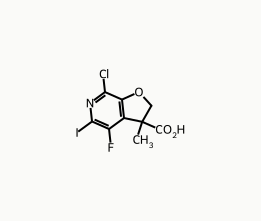 CC1(C(=O)O)COc2c(Cl)nc(I)c(F)c21